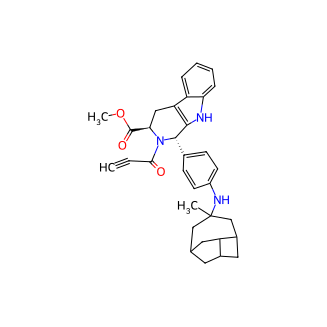 C#CC(=O)N1[C@@H](c2ccc(NC3(C)CC4CC5CC(C3)C5C4)cc2)c2[nH]c3ccccc3c2C[C@@H]1C(=O)OC